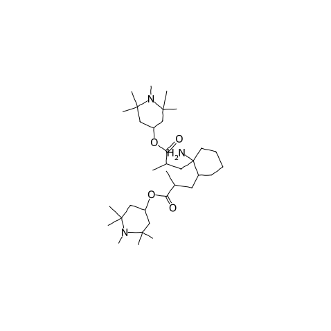 CC(CC1CCCCC1(N)CC(C)C(=O)OC1CC(C)(C)N(C)C(C)(C)C1)C(=O)OC1CC(C)(C)N(C)C(C)(C)C1